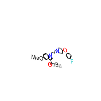 CCCCC(=O)c1cn(CCCN2CCC(Oc3ccc(F)cc3)CC2)c2ccc(OC)cc12